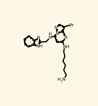 CC(C)c1cnn2c(NCc3nc4ccccc4[nH]3)cc(NCCCCCCN)nc12